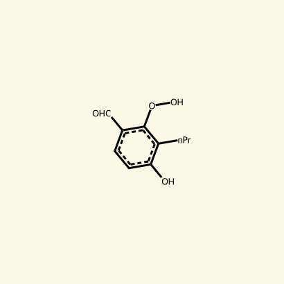 CCCc1c(O)ccc(C=O)c1OO